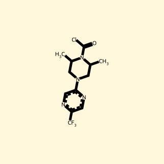 CC1CN(c2cnc(C(F)(F)F)cn2)CC(C)N1C(=O)Cl